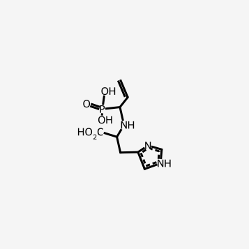 C=CC(NC(Cc1c[nH]cn1)C(=O)O)P(=O)(O)O